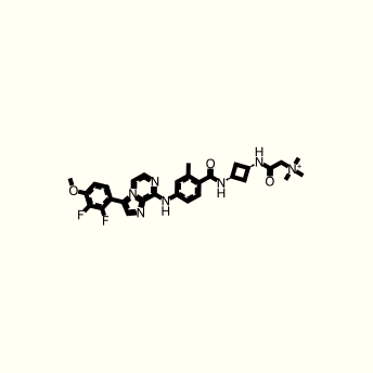 COc1ccc(-c2cnc3c(Nc4ccc(C(=O)N[C@H]5C[C@@H](NC(=O)C[N+](C)(C)C)C5)c(C)c4)nccn23)c(F)c1F